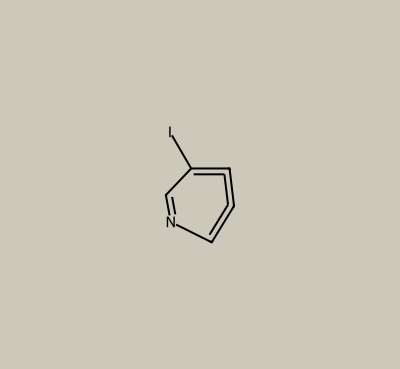 IC1=C=C=CN=C1